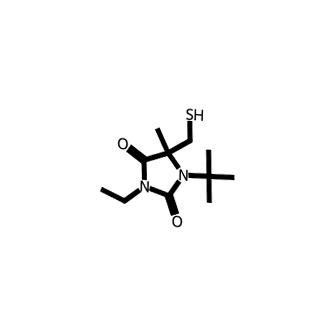 CCN1C(=O)N(C(C)(C)C)C(C)(CS)C1=O